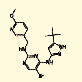 COc1ccc(CNc2ncc(Br)c(Nc3cc(C(C)(C)C)[nH]n3)n2)cn1